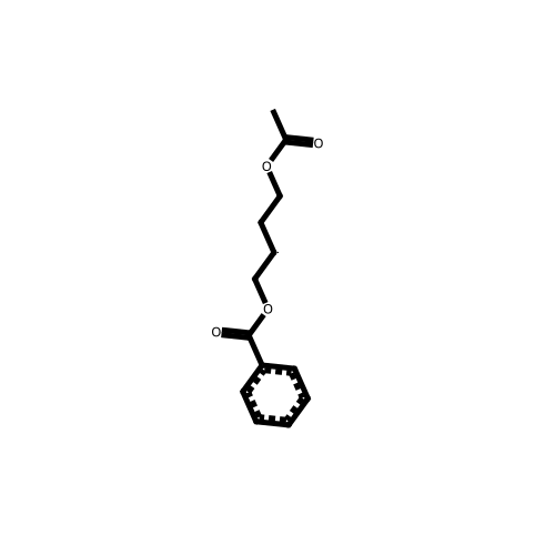 CC(=O)OCC[CH]COC(=O)c1ccccc1